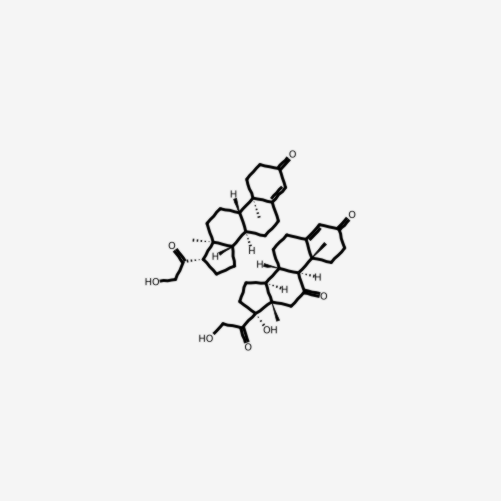 C[C@]12CCC(=O)C=C1CC[C@@H]1[C@@H]2C(=O)C[C@@]2(C)[C@H]1CC[C@]2(O)C(=O)CO.C[C@]12CC[C@H]3[C@@H](CCC4=CC(=O)CC[C@@]43C)[C@@H]1CC[C@@H]2C(=O)CO